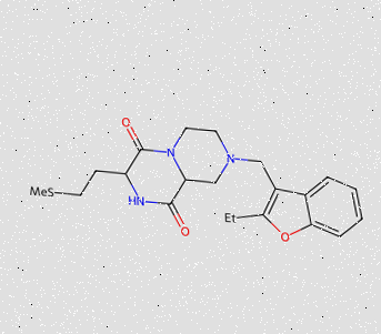 CCc1oc2ccccc2c1CN1CCN2C(=O)C(CCSC)NC(=O)C2C1